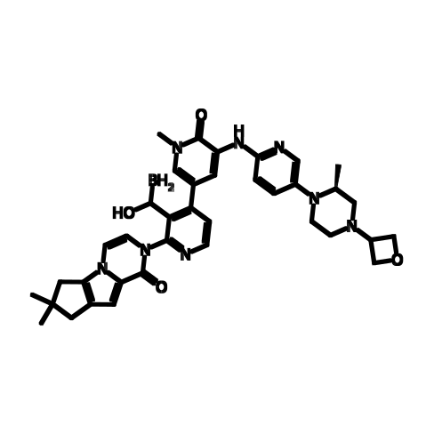 BC(O)c1c(-c2cc(Nc3ccc(N4CCN(C5COC5)C[C@@H]4C)cn3)c(=O)n(C)c2)ccnc1-n1ccn2c3c(cc2c1=O)CC(C)(C)C3